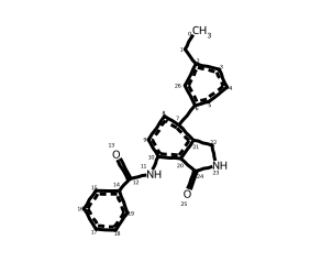 CCc1cccc(-c2ccc(NC(=O)c3ccccc3)c3c2CNC3=O)c1